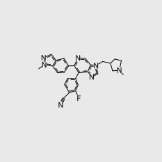 CN1CCC(Cn2cnc3c(-c4ccc(C#N)c(F)c4)c(-c4ccc5c(cnn5C)c4)ncc32)C1